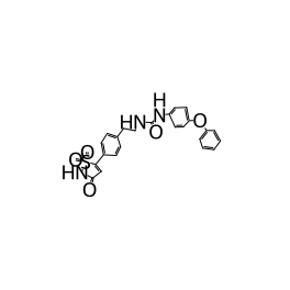 O=C1C=C(c2ccc(CCNC(=O)Nc3ccc(Oc4ccccc4)cc3)cc2)S(=O)(=O)N1